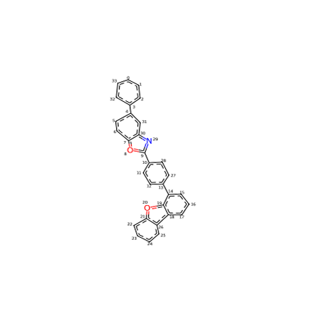 c1ccc(-c2ccc3oc(-c4ccc(-c5cccc6c5oc5ccccc56)cc4)nc3c2)cc1